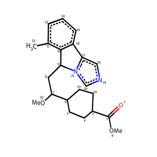 COC(=O)C1CCC(C(CC2c3c(C)cccc3-c3cncn32)OC)CC1